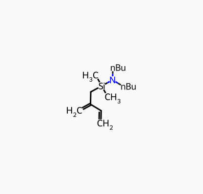 C=CC(=C)C[Si](C)(C)N(CCCC)CCCC